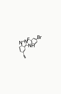 C#Cc1ccc2ncnc(Nc3ccc(Br)cc3F)c2c1